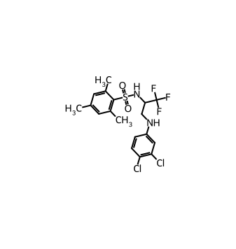 Cc1cc(C)c(S(=O)(=O)NC(CNc2ccc(Cl)c(Cl)c2)C(F)(F)F)c(C)c1